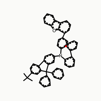 CC(C)(C)c1ccc2c(c1)C(c1ccccc1)(c1ccccc1)c1cc(N(c3ccc(-c4cccc5c4oc4ccccc45)cc3)c3ccccc3-c3ccccc3)ccc1-2